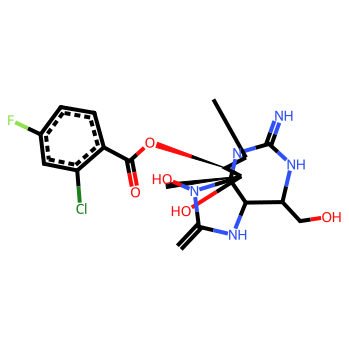 C=C1NC2C(CO)NC(=N)N3C(C)[C@H](OC(=O)c4ccc(F)cc4Cl)[C@](C)(O)C23N1O